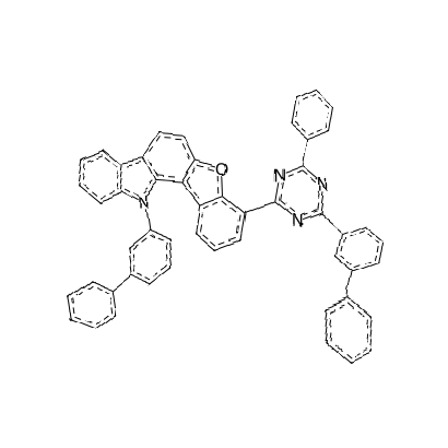 c1ccc(-c2cccc(-c3nc(-c4ccccc4)nc(-c4cccc5c4oc4ccc6c7ccccc7n(-c7cccc(-c8ccccc8)c7)c6c45)n3)c2)cc1